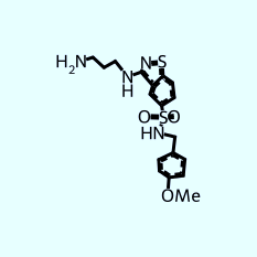 COc1ccc(CNS(=O)(=O)c2ccc3snc(NCCCN)c3c2)cc1